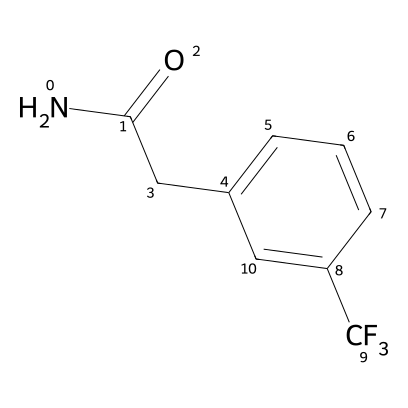 NC(=O)Cc1cccc(C(F)(F)F)c1